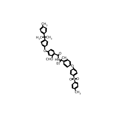 CCC(C)(NC(=O)c1ccc(Oc2ccc(C(C)(C)c3ccc(C)cc3)cc2)cc1C=O)c1ccc(Oc2ccc(S(=O)(=O)c3ccc(C)cc3)cc2)cc1